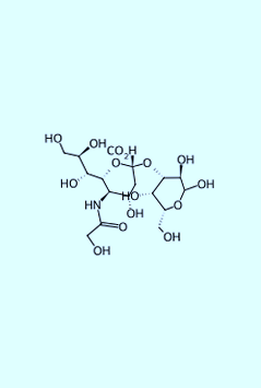 O=C(CO)N[C@H]1[C@H]([C@H](O)[C@H](O)CO)O[C@@](O[C@H]2[C@@H](O)[C@@H](CO)OC(O)[C@@H]2O)(C(=O)O)C[C@@H]1O